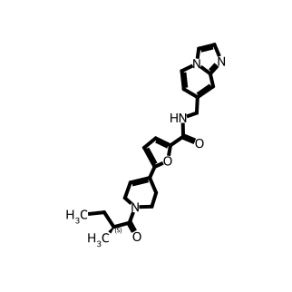 CC[C@H](C)C(=O)N1CC=C(c2ccc(C(=O)NCc3ccn4ccnc4c3)o2)CC1